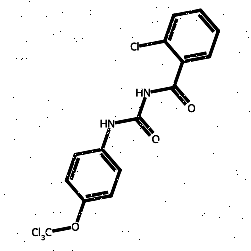 O=C(NC(=O)c1ccccc1Cl)Nc1ccc(OC(Cl)(Cl)Cl)cc1